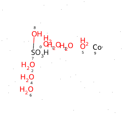 O.O.O.O.O.O.O.O=S(=O)(O)O.[Co]